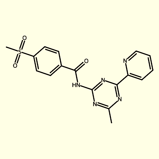 Cc1nc(NC(=O)c2ccc(S(C)(=O)=O)cc2)nc(-c2ccccn2)n1